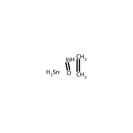 C=C.[O]=[InH].[SnH2]